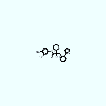 N#Cc1ccc(NC(=O)C(O)(Cc2ccccc2-c2cccs2)C2CCCCC2)cc1C(F)(F)F